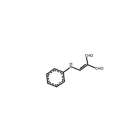 O=CC(C=O)=CNc1ccccc1